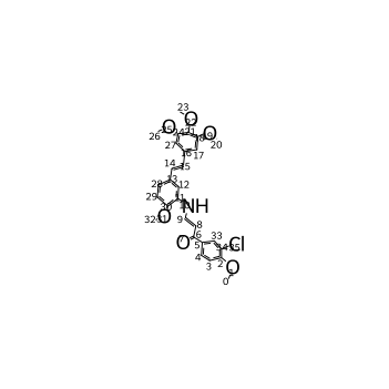 COc1ccc(C(=O)C=CNc2cc(C=Cc3cc(OC)c(OC)c(OC)c3)ccc2OC)cc1Cl